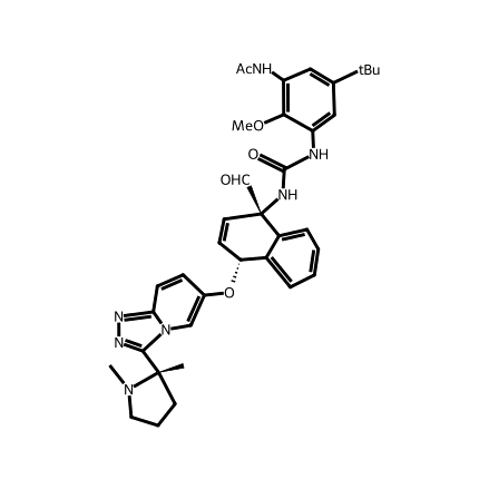 COc1c(NC(C)=O)cc(C(C)(C)C)cc1NC(=O)N[C@@]1(C=O)C=C[C@@H](Oc2ccc3nnc([C@]4(C)CCCN4C)n3c2)c2ccccc21